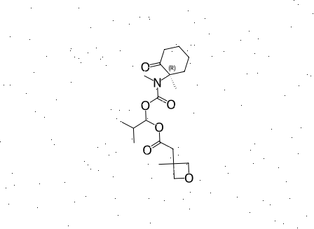 CC(C)C(OC(=O)CC1(C)COC1)OC(=O)N(C)[C@]1(C)CCCCC1=O